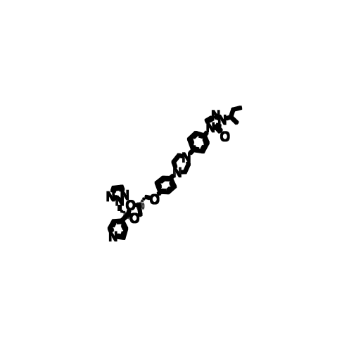 CCC(C)n1ncn(-c2ccc(N3CCN(c4ccc(OC[C@@H]5CO[C@@](Cn6nccn6)(c6ccncc6)O5)cc4)CC3)cc2)c1=O